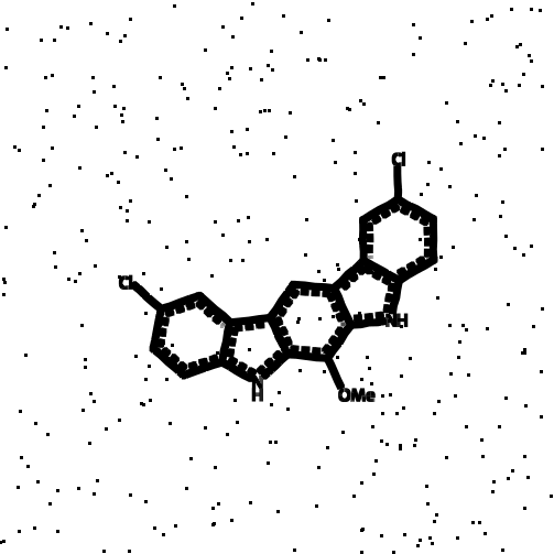 COc1c2[nH]c3ccc(Cl)cc3c2cc2c1[nH]c1ccc(Cl)cc12